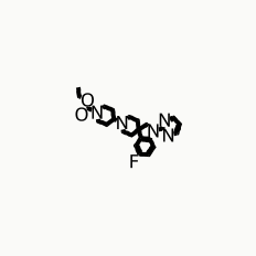 CCOC(=O)N1CCC(N2CCC3(CC2)CN(c2ncccn2)c2ccc(F)cc23)CC1